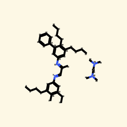 CCCCc1cc(N=CC(C)=Nc2cc(CCCC)c(CCCC)c(-c3ccccc3)c2)cc(CC)c1C.C[N](C)[Ni][N](C)C